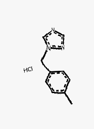 Cc1ccc(Cn2cncn2)cc1.Cl